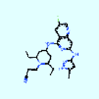 CCC1CC(Nc2nc(Nc3cc(C)[nH]n3)cc3ncc(F)cc23)CC(CC)N1CCC#N